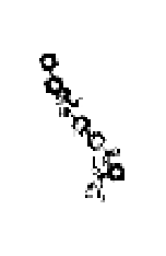 CCOC(=O)c1ccccc1NC(=O)N1CCN(c2ccc(NC(=O)c3cc4cc(-c5ccccc5)ccc4s3)cn2)CC1